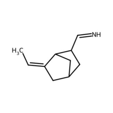 CC=C1CC2CC(C=N)C1C2